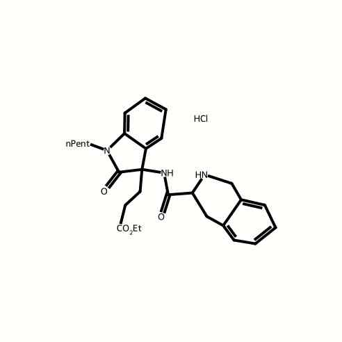 CCCCCN1C(=O)C(CCC(=O)OCC)(NC(=O)C2Cc3ccccc3CN2)c2ccccc21.Cl